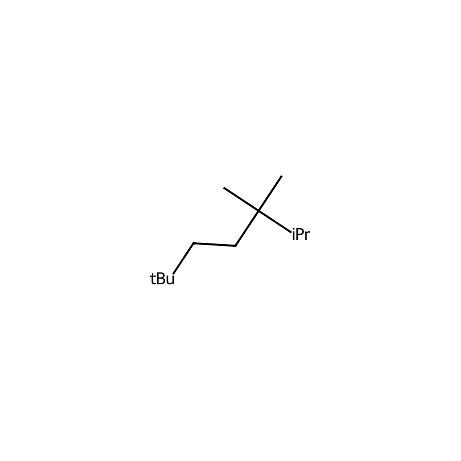 [CH2]C(C)(C)CCC(C)(C)C(C)C